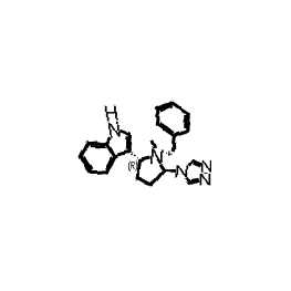 C[N+]1(Cc2ccccc2)C(n2cnnc2)CC[C@@H]1c1c[nH]c2ccccc12